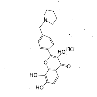 Cl.O=c1c(O)c(-c2ccc(CN3CCCCC3)cc2)oc2c(O)c(O)ccc12